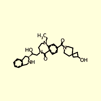 CCN1CCN(CC(O)[C@@H]2Cc3ccccc3CN2)C(=O)c2ccc(C(=O)N3CCC4(CC3)CC(O)C4)cc21